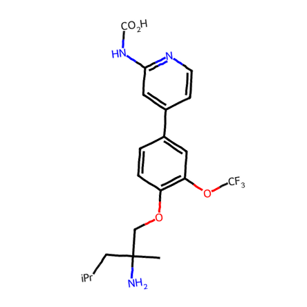 CC(C)CC(C)(N)COc1ccc(-c2ccnc(NC(=O)O)c2)cc1OC(F)(F)F